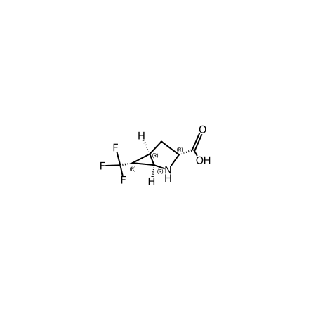 O=C(O)[C@H]1C[C@H]2[C@@H](N1)[C@@H]2C(F)(F)F